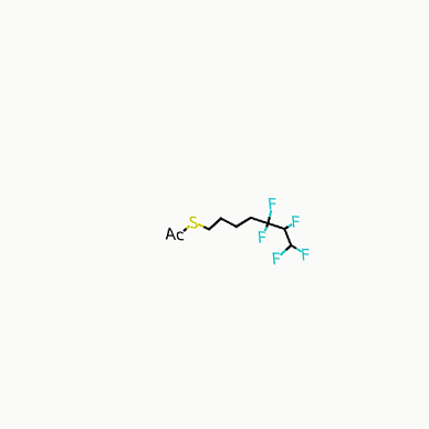 CC(=O)SCCCCC(F)(F)C(F)C(F)F